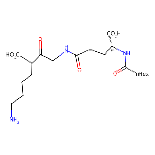 CCCCCCC(=O)N[C@H](CCC(=O)NCC(=O)C(CCCCN)C(=O)O)C(=O)O